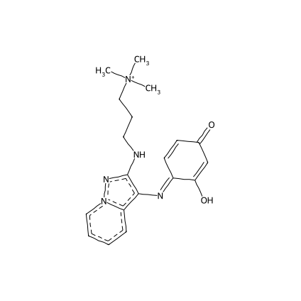 C[N+](C)(C)CCCNc1nn2ccccc2c1/N=C1\C=CC(=O)C=C1O